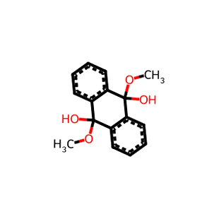 COC1(O)c2ccccc2C(O)(OC)c2ccccc21